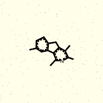 Cc1ccc2c(c1)-c1c(C)nc(C)c(C)c1C2